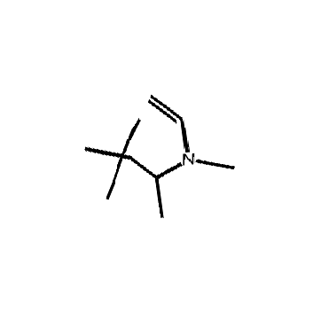 C=CN(C)C(C)C(C)(C)C